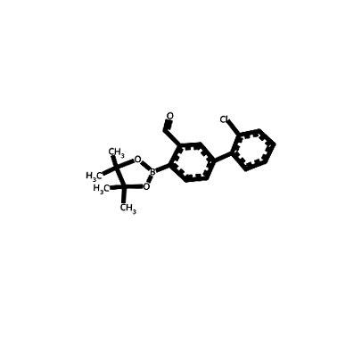 CC1(C)OB(c2ccc(-c3ccccc3Cl)cc2C=O)OC1(C)C